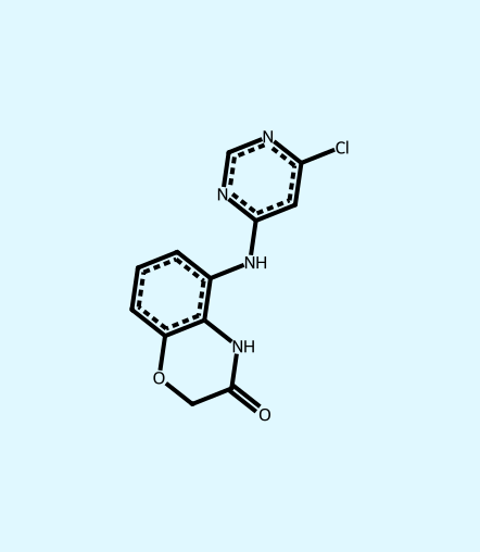 O=C1COc2cccc(Nc3cc(Cl)ncn3)c2N1